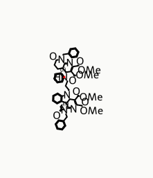 COC(=O)C1=C(C(=O)OC)C(NCCCN2c3ccccc3[C@]34CCC(=O)N(Cc5ccccc5)C3=NC(C(=O)OC)=C(C(=O)OC)C24)[C@@]2(c3ccccc3)CCC(=O)N(Cc3ccccc3)C2=N1